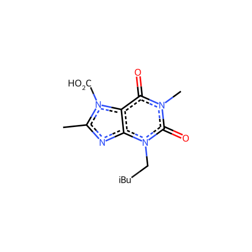 CCC(C)Cn1c(=O)n(C)c(=O)c2c1nc(C)n2C(=O)O